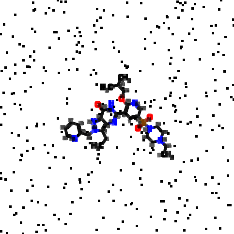 CCc1c2nc(-c3cc(S(=O)(=O)N4CCN(CC)CC4)cnc3OCC(C)C)[nH]c(=O)c2nn1Cc1ccccn1